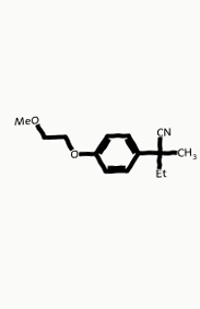 CCC(C)(C#N)c1ccc(OCCOC)cc1